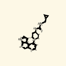 O=C(NCC1CC1)NC1CCN(c2ccnc3cnc4[nH]ccc4c23)CC1